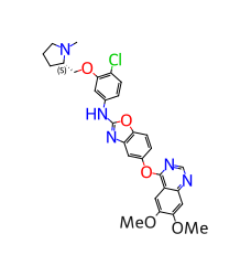 COc1cc2ncnc(Oc3ccc4oc(Nc5ccc(Cl)c(OC[C@@H]6CCCN6C)c5)nc4c3)c2cc1OC